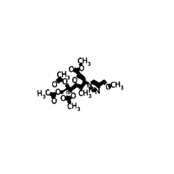 COCc1cn([C@H]2C=C(C(=O)OC)O[C@@H]([C@H](OC(C)=O)[C@@H](COC(C)=O)OC(C)=O)[C@@H]2C)nn1